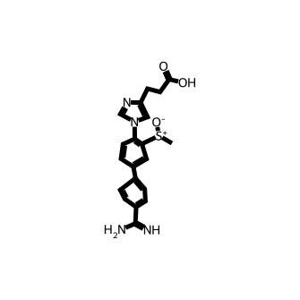 C[S+]([O-])c1cc(-c2ccc(C(=N)N)cc2)ccc1-n1cnc(CCC(=O)O)c1